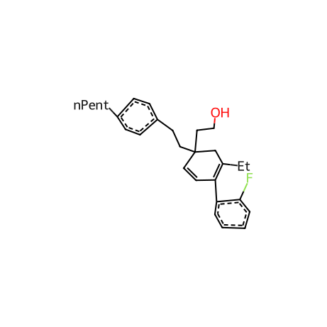 CCCCCc1ccc(CCC2(CCO)C=CC(c3ccccc3F)=C(CC)C2)cc1